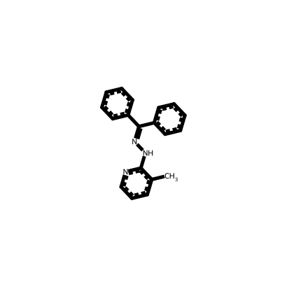 Cc1cccnc1NN=C(c1ccccc1)c1ccccc1